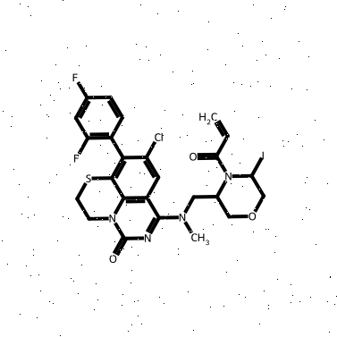 C=CC(=O)N1C(I)COCC1CN(C)c1nc(=O)n2c3c(c(-c4ccc(F)cc4F)c(Cl)cc13)SCC2